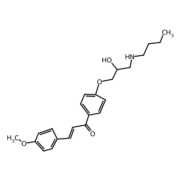 CCCCNCC(O)COc1ccc(C(=O)C=Cc2ccc(OC)cc2)cc1